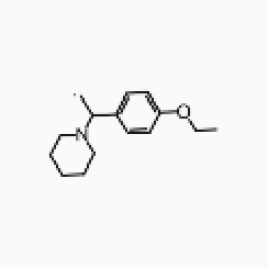 [CH2]C(c1ccc(OCC)cc1)N1CCCCC1